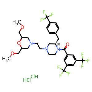 COCC1CN(CCN2CCN(C(=O)c3cc(C(F)(F)F)cc(C(F)(F)F)c3)[C@H](Cc3ccc(C(F)(F)F)cc3)C2)CC(COC)O1.Cl.Cl